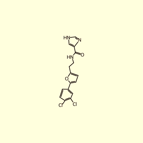 O=C(NCCc1ccc(-c2ccc(Cl)c(Cl)c2)o1)c1c[nH]cn1